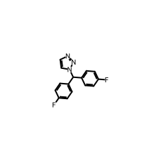 Fc1ccc(C(c2ccc(F)cc2)n2ccnn2)cc1